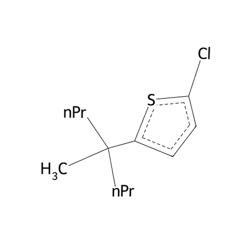 CCCC(C)(CCC)c1ccc(Cl)s1